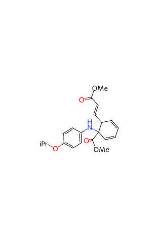 COC(=O)C=CC1C=CC=CC1(Nc1ccc(OC(C)C)cc1)C(=O)OC